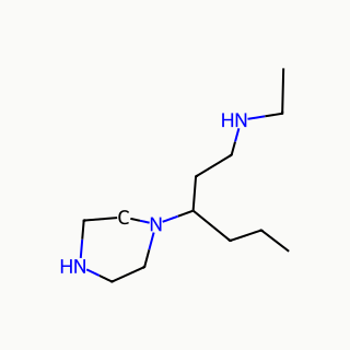 CCCC(CCNCC)N1CCNCC1